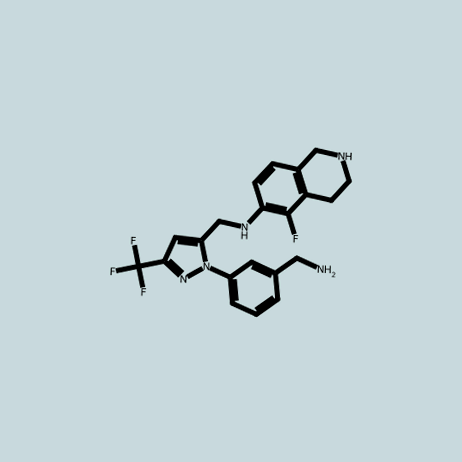 NCc1cccc(-n2nc(C(F)(F)F)cc2CNc2ccc3c(c2F)CCNC3)c1